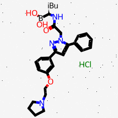 CC[C@@H](C)C(NC(=O)Cn1nc(-c2cccc(OCCN3CCCC3)c2)cc1-c1ccccc1)B(O)O.Cl